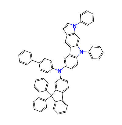 c1ccc(-c2ccc(N(c3ccc4c(c3)C(c3ccccc3)(c3ccccc3)c3ccccc3-4)c3ccc4c(c3)c3cc5ccn(-c6ccccc6)c5cc3n4-c3ccccc3)cc2)cc1